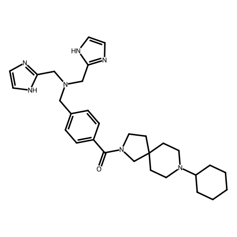 O=C(c1ccc(CN(Cc2ncc[nH]2)Cc2ncc[nH]2)cc1)N1CCC2(CCN(C3CCCCC3)CC2)C1